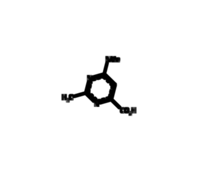 CNc1cc(C(=O)O)nc(C)n1